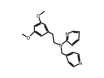 COc1cc(CCN(Cc2ccncc2)c2[c]cccn2)cc(OC)c1